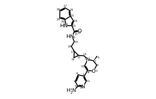 C[C@H]1COC(c2ccc(N)nc2)=CN1CC1CC1CCNC(=O)c1cc2ccccc2[nH]1